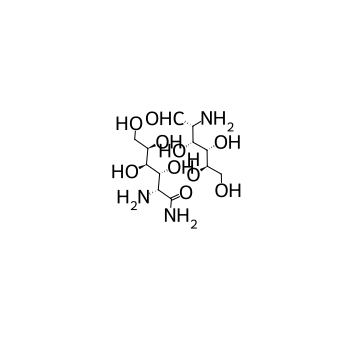 NC(=O)[C@H](N)[C@@H](O)[C@@H](O)[C@H](O)CO.N[C@@H](C=O)[C@@H](O)[C@H](O)[C@H](O)CO